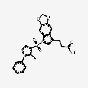 Cc1c(S(=O)(=O)n2cc(CCC(=O)O)c3cc4c(cc32)OCO4)cnn1-c1ccccc1